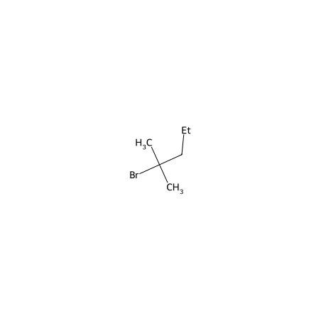 CCCC(C)(C)Br